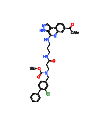 COC(=O)c1ccc2c(c1)nc(NCCCNC(=O)CCN(Cc1ccc(-c3ccccc3)c(Cl)c1)C(=O)OC(C)(C)C)c1[nH]ncc12